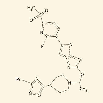 CC(C)c1noc(C2CCN([C@@H](C)Oc3nn4cc(-c5ccc(S(C)(=O)=O)nc5F)nc4s3)CC2)n1